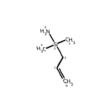 C=CC[Si](C)(C)N